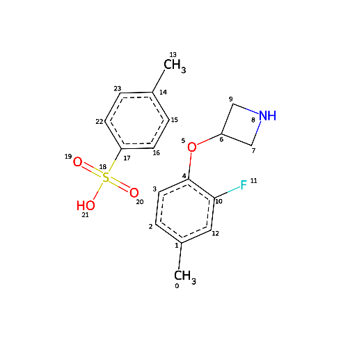 Cc1ccc(OC2CNC2)c(F)c1.Cc1ccc(S(=O)(=O)O)cc1